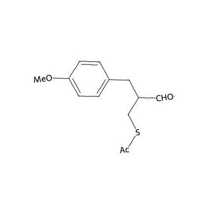 COc1ccc(CC([C]=O)CSC(C)=O)cc1